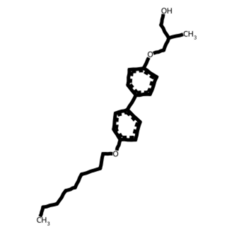 CCCCCCCCOc1ccc(-c2ccc(OCC(C)CO)cc2)cc1